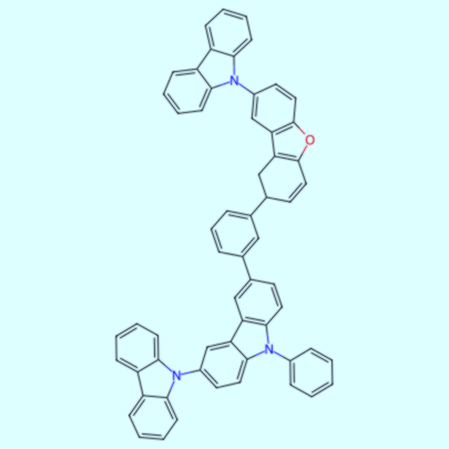 C1=CC(c2cccc(-c3ccc4c(c3)c3cc(-n5c6ccccc6c6ccccc65)ccc3n4-c3ccccc3)c2)Cc2c1oc1ccc(-n3c4ccccc4c4ccccc43)cc21